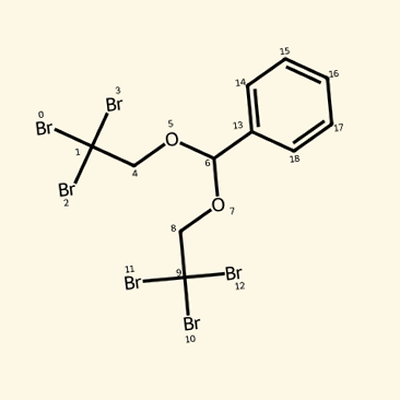 BrC(Br)(Br)COC(OCC(Br)(Br)Br)c1ccccc1